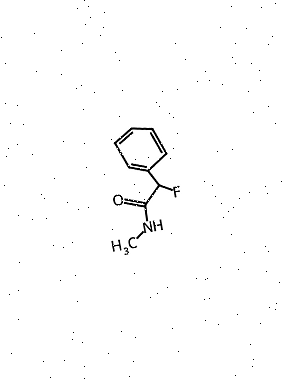 CNC(=O)C(F)c1ccccc1